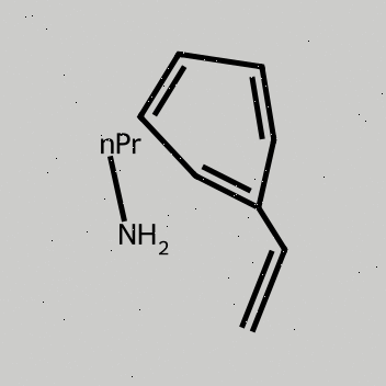 C=Cc1ccccc1.CCCN